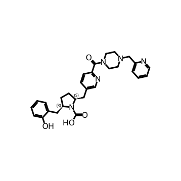 O=C(c1ccc(C[C@@H]2CC[C@H](Cc3ccccc3O)N2C(=O)O)cn1)N1CCN(Cc2ccccn2)CC1